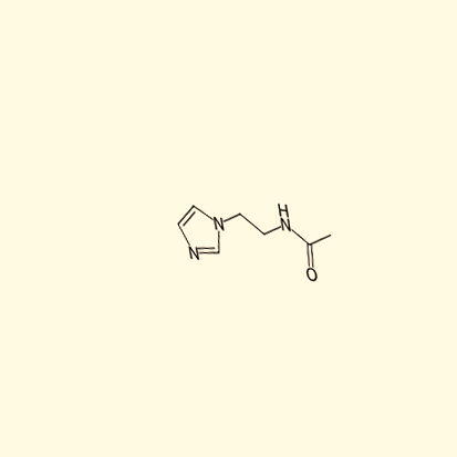 CC(=O)NCCn1ccnc1